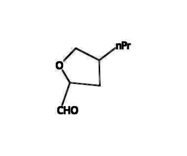 CCCC1COC(C=O)C1